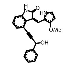 COc1cc[nH]c1C=C1C(=O)Nc2cccc(C#CC(O)c3ccccc3)c21